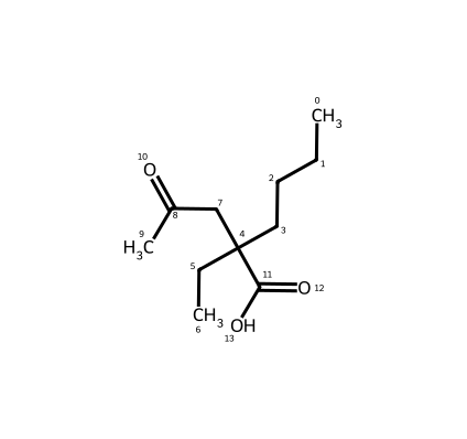 CCCCC(CC)(CC(C)=O)C(=O)O